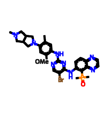 COc1cc(N2CC3CN(C)CC3C2)c(C)cc1Nc1ncc(Br)c(Nc2ccc3nccnc3c2P(C)(C)=O)n1